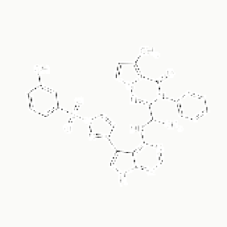 Cc1ccn2nc(C(C)Nc3ncnc4[nH]cc(-c5ccn(S(=O)(=O)c6cccc(O)c6)n5)c34)n(-c3ccccc3)c(=O)c12